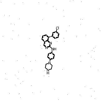 Clc1cccc(-c2cccc3cnc(Nc4ccc(N5CCNCC5)cc4)nc23)c1